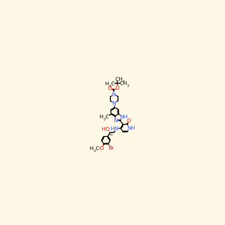 COc1ccc([C@H](O)CNc2cc[nH]c(=O)c2-c2nc3c(C)cc(N4CCN(C(=O)OC(C)(C)C)CC4)cc3[nH]2)cc1Br